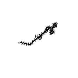 CCCCCCCC/C=C\CCCCCCCC(=O)NCCCCOc1cccc(CN(Cc2ccccn2)Cc2ccccn2)c1